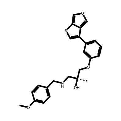 COc1ccc(CNC[C@](C)(O)COc2cccc(-c3csc4cocc34)c2)cc1